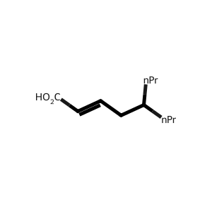 CCCC(CC=CC(=O)O)CCC